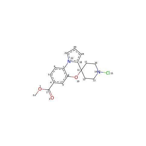 COC(=O)c1ccc2c(c1)OC1(CCN(Cl)CC1)c1cccn1-2